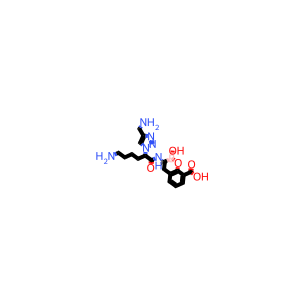 NCCCCC(C(=O)N[C@H]1Cc2cccc(C(=O)O)c2OB1O)n1cc(CN)nn1